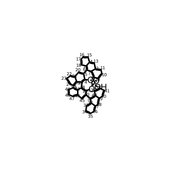 O=P1(O)Oc2c(-c3c4ccccc4cc4ccccc34)cc3ccccc3c2-c2c(c(-c3c4ccccc4cc4ccccc34)cc3ccccc23)O1